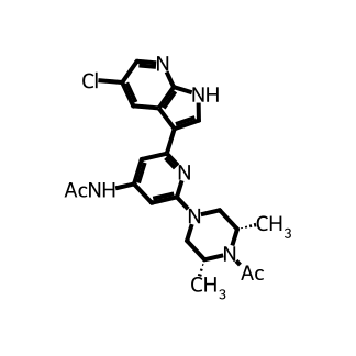 CC(=O)Nc1cc(-c2c[nH]c3ncc(Cl)cc23)nc(N2C[C@@H](C)N(C(C)=O)[C@@H](C)C2)c1